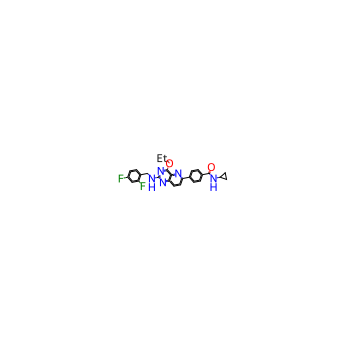 CCOc1nc(NCc2ccc(F)cc2F)nc2ccc(-c3ccc(C(=O)NC4CC4)cc3)nc12